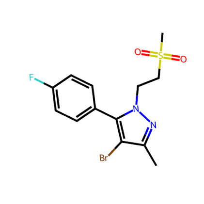 Cc1nn(CCS(C)(=O)=O)c(-c2ccc(F)cc2)c1Br